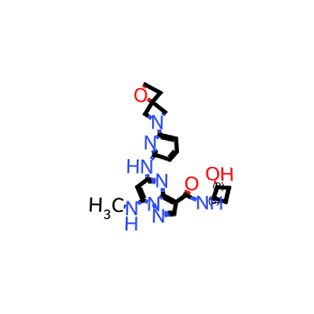 CNc1cc(Nc2cccc(N3CC4(CCO4)C3)n2)nc2c(C(=O)N[C@H]3CC[C@H]3O)cnn12